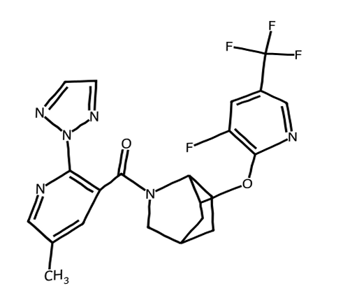 Cc1cnc(-n2nccn2)c(C(=O)N2CC3CCC2C(Oc2ncc(C(F)(F)F)cc2F)C3)c1